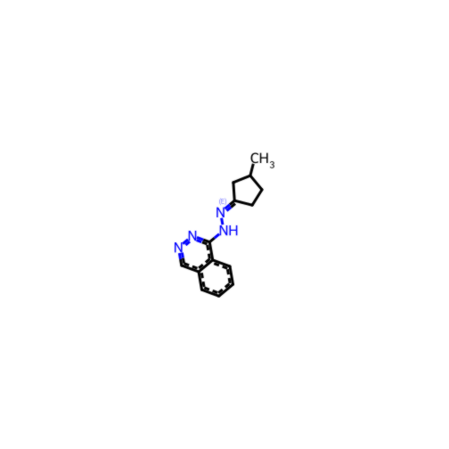 CC1CC/C(=N\Nc2nncc3ccccc23)C1